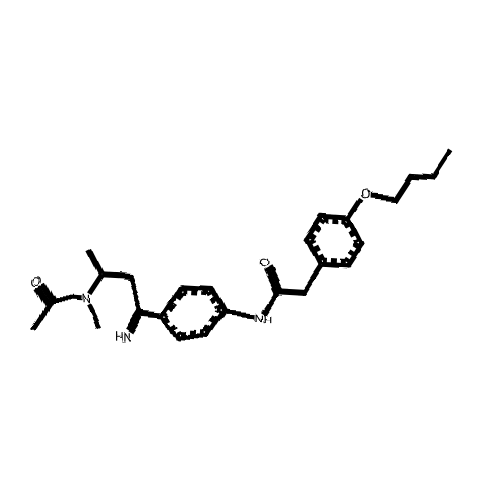 CCCCOc1ccc(CC(=O)Nc2ccc(C(=N)CC(C)N(C)C(C)=O)cc2)cc1